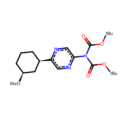 CO[C@H]1CCC[C@@H](c2cnc(N(C(=O)OC(C)(C)C)C(=O)OC(C)(C)C)cn2)C1